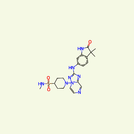 CNS(=O)(=O)C1CCN([N+]23C=CN=CC2=NC(Nc2ccc4c(c2)NC(=O)C4(C)C)=N3)CC1